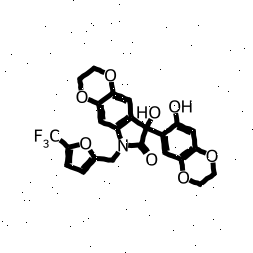 O=C1N(Cc2ccc(C(F)(F)F)o2)c2cc3c(cc2C1(O)c1cc2c(cc1O)OCCO2)OCCO3